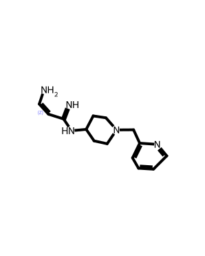 N=C(/C=C\N)NC1CCN(Cc2ccccn2)CC1